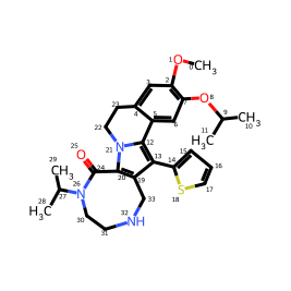 COc1cc2c(cc1OC(C)C)-c1c(-c3cccs3)c3c(n1CC2)C(=O)N(C(C)C)CCNC3